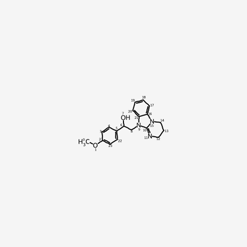 COc1ccc(C(O)CN2C3=NCCCN3c3ccccc32)cc1